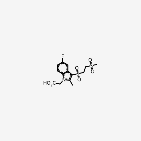 Cc1c(S(=O)(=O)CCS(C)(=O)=O)c2cc(F)ccc2n1CC(=O)O